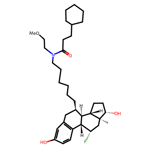 COCCN(CCCCCC[C@@H]1Cc2cc(O)ccc2[C@@H]2[C@@H]1[C@@H]1CC[C@H](O)[C@@]1(C)C[C@@H]2F)C(=O)CCC1CCCCC1